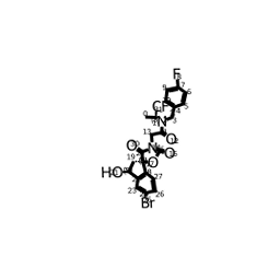 C[C@H](N(Cc1ccc(F)cc1)C(=O)CN1C(=O)O[C@]2(C[C@H](O)c3cc(Br)ccc32)C1=O)C(F)(F)F